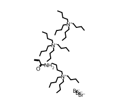 C=CC(N)=O.CCCC[N+](CCCC)(CCCC)CCCC.CCCC[N+](CCCC)(CCCC)CCCC.CCCC[N+](CCCC)(CCCC)CCCC.[Br-].[Br-].[Br-]